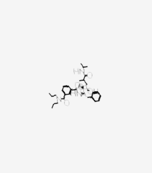 CCCN(CCC)C(=O)c1cccc(C(=O)N[C@@H](Cc2ccccc2)P(=O)(O)CC(C)C(=O)NC(C)C)c1